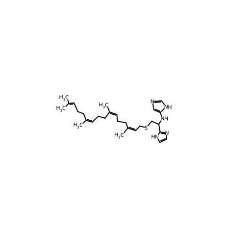 CC(C)=CCCC(C)=CCCC(C)=CCCC(C)=CCSCC(Nc1cnc[nH]1)c1ncc[nH]1